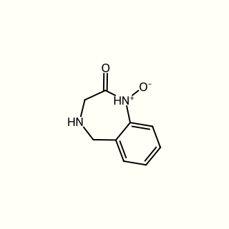 O=C1CNCc2ccccc2[NH+]1[O-]